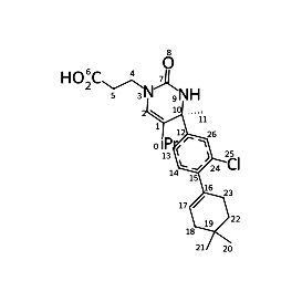 CC(C)C1=CN(CCC(=O)O)C(=O)N[C@@]1(C)c1ccc(C2=CCC(C)(C)CC2)c(Cl)c1